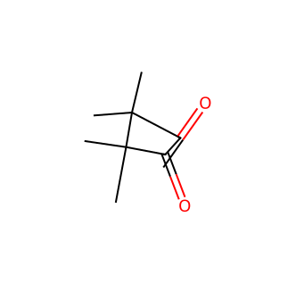 CC1(C)C(=O)C(=O)C1(C)C